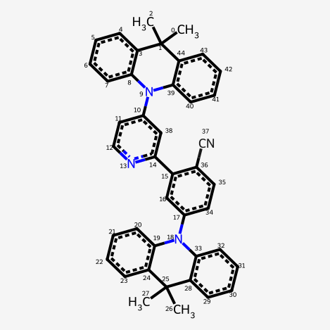 CC1(C)c2ccccc2N(c2ccnc(-c3cc(N4c5ccccc5C(C)(C)c5ccccc54)ccc3C#N)c2)c2ccccc21